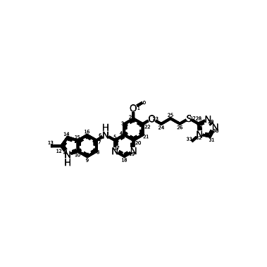 COc1cc2c(Nc3ccc4[nH]c(C)cc4c3)ncnc2cc1OCCCSc1nncn1C